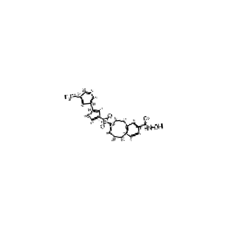 O=C(NO)c1ccc2c(c1)CCN(S(=O)(=O)c1csc(-c3cccc(C(F)(F)F)c3)c1)CCC2